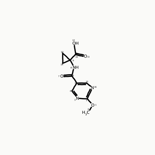 COc1ncc(C(=O)NC2(C(=O)O)CC2)cn1